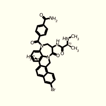 CN[C@@H](C)C(=O)NC1CN(C(=O)c2ccc(C(N)=O)cc2)c2ccccc2N(Cc2c(OC)ccc3cc(Br)ccc23)C1=O